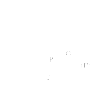 CCCO[P](=O)c1ccccc1